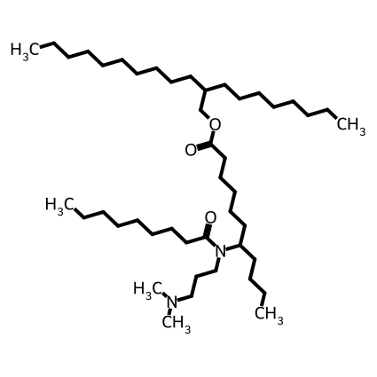 CCCCCCCCCCC(CCCCCCCC)COC(=O)CCCCCC(CCCC)N(CCCN(C)C)C(=O)CCCCCCCC